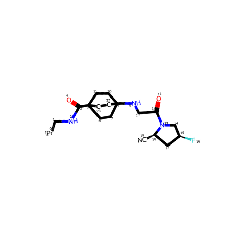 CC(C)CNC(=O)C12CCC(NCC(=O)N3C[C@@H](F)C[C@H]3C#N)(CC1)CC2